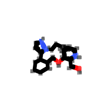 CCCn1nccc1C1CCCCC1COc1cccnc1C=O